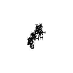 CCNS(=O)(=O)c1cc(-c2sc(Nc3cccc(N(C)C(=O)COC)n3)nc2C)cc2c1C(=O)N(C(C)C1CC1)C2